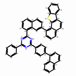 c1ccc(-c2nc(-c3ccc(-c4cccc5ccccc45)cc3)nc(-c3cccc4ccc(-c5cccc6ccc7c8ccccc8sc7c56)cc34)n2)cc1